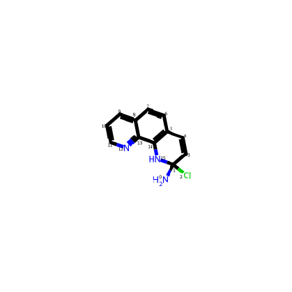 NC1(Cl)C=Cc2ccc3cccnc3c2N1